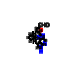 O=Cc1ccc(-c2nc3cnc4[nH]ccc4c3n2C2[C@H]3CCC[C@@H]23)o1